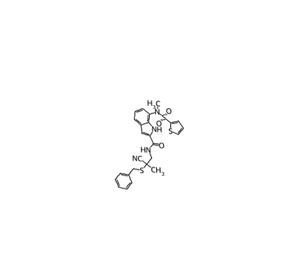 CN(c1cccc2cc(C(=O)NCC(C)(C#N)SCc3ccccc3)[nH]c12)S(=O)(=O)c1cccs1